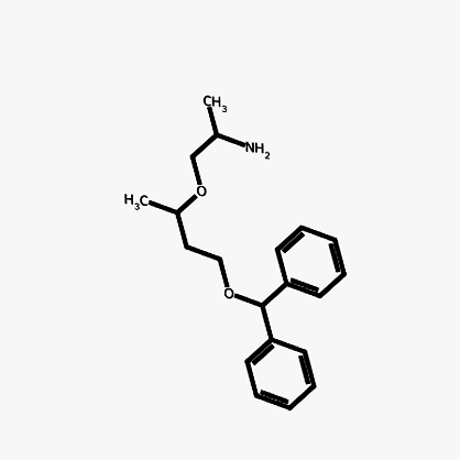 CC(N)COC(C)CCOC(c1ccccc1)c1ccccc1